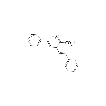 C=C(C(=O)O)C(C=Cc1ccccc1)C=Cc1ccccc1